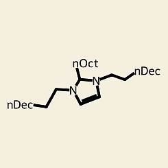 CCCCCCCCCCCCN1C=CN(CCCCCCCCCCCC)C1CCCCCCCC